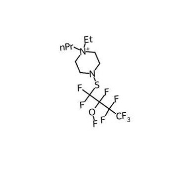 CCC[N+]1(CC)CCN(SC(F)(F)C(F)(OF)C(F)(F)C(F)(F)F)CC1